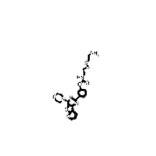 NCCSSCCNC(=O)Oc1cccc(-c2nc(N3CCOCC3)c3oc4ncccc4c3n2)c1